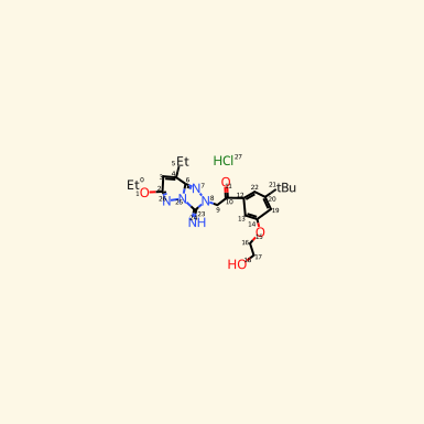 CCOc1cc(CC)c2nn(CC(=O)c3cc(OCCO)cc(C(C)(C)C)c3)c(=N)n2n1.Cl